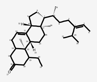 C/C=C(/CC[C@@H](C)[C@H]1CC[C@H]2C3=CCC4CC(=O)CC(CC)[C@]4(C)[C@H]3CC[C@]12C)C(C)C